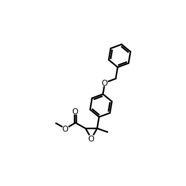 COC(=O)C1OC1(C)c1ccc(OCc2ccccc2)cc1